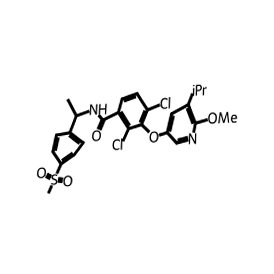 COc1ncc(Oc2c(Cl)ccc(C(=O)NC(C)c3ccc(S(C)(=O)=O)cc3)c2Cl)cc1C(C)C